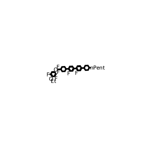 CCCCCC1CCC(c2ccc(-c3ccc(C4CCC(C(F)(F)Oc5cc(F)c(OCC)c(F)c5)CC4)c(F)c3)c(F)c2)CC1